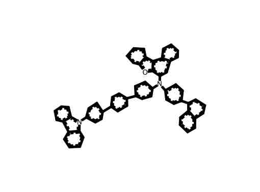 c1ccc2c(-c3ccc(N(c4ccc(-c5ccc(-c6ccc(-n7c8ccccc8c8ccccc87)cc6)cc5)cc4)c4cc5ccccc5c5c4oc4ccccc45)cc3)cccc2c1